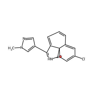 Cn1cc(C2=CNC(=O)C34CC=C(Cl)C=C3C=CC=C24)cn1